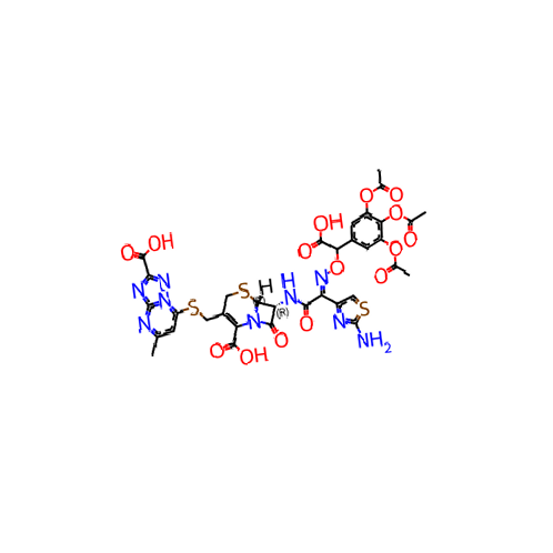 CC(=O)Oc1cc(C(ON=C(C(=O)N[C@@H]2C(=O)N3C(C(=O)O)=C(CSc4cc(C)nc5nc(C(=O)O)nn45)CS[C@H]23)c2csc(N)n2)C(=O)O)cc(OC(C)=O)c1OC(C)=O